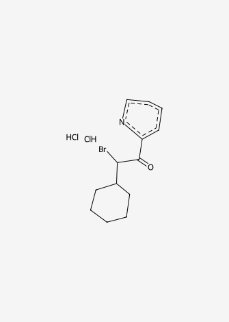 Cl.Cl.O=C(c1ccccn1)C(Br)C1CCCCC1